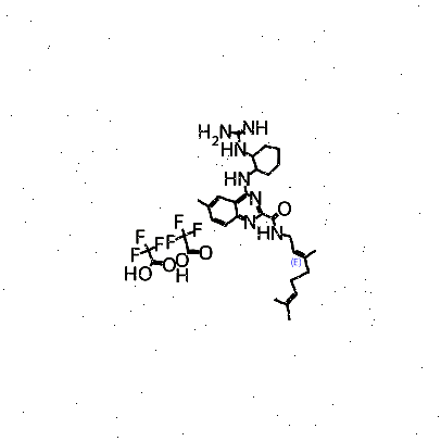 CC(C)=CCC/C(C)=C/CNC(=O)c1nc(NC2CCCCC2NC(=N)N)c2cc(C)ccc2n1.O=C(O)C(F)(F)F.O=C(O)C(F)(F)F